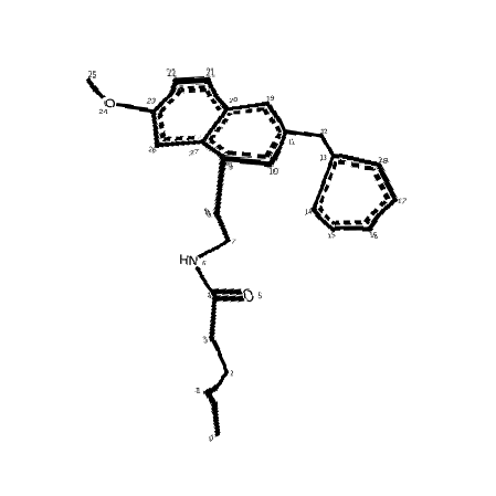 CCCCC(=O)NCCc1cc(Cc2ccccc2)cc2ccc(OC)cc12